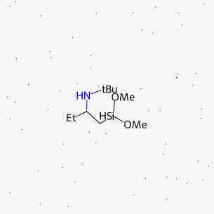 CCC(C[SiH](OC)OC)NC(C)(C)C